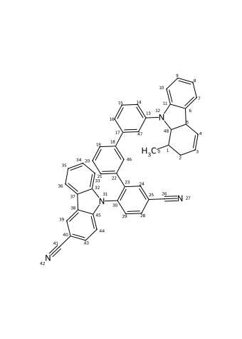 CC1CC=CC2c3ccccc3N(c3cccc(-c4cccc(-c5cc(C#N)ccc5-n5c6ccccc6c6cc(C#N)ccc65)c4)c3)C12